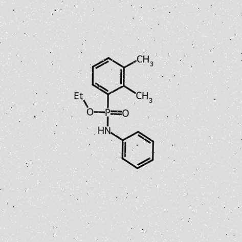 CCOP(=O)(Nc1ccccc1)c1cccc(C)c1C